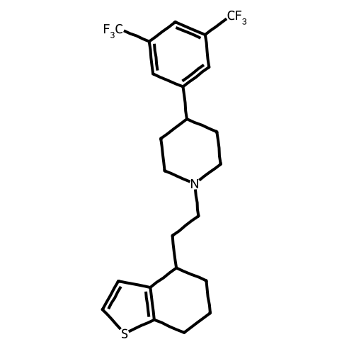 FC(F)(F)c1cc(C2CCN(CCC3CCCc4sccc43)CC2)cc(C(F)(F)F)c1